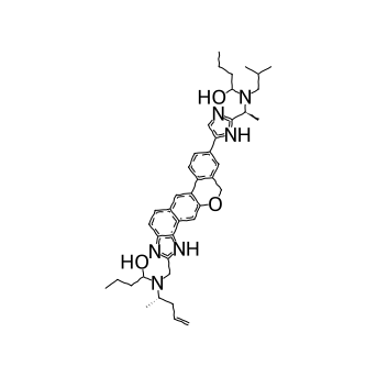 C=CC[C@H](C)N(Cc1nc2ccc3cc4c(cc3c2[nH]1)OCc1cc(-c2cnc([C@H](C)N(CC(C)C)C(O)CCC)[nH]2)ccc1-4)C(O)CCC